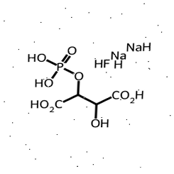 F.O=C(O)C(O)C(OP(=O)(O)O)C(=O)O.[NaH].[NaH]